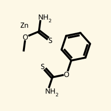 COC(N)=S.NC(=S)Oc1ccccc1.[Zn]